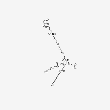 CCOCCOCCNC(=O)CCOCC(COCCC(=O)NC)(COCCC(=O)NCCOCCOCCOC)NC(=O)CCOCCOCCOCCOCCNC(=O)CCCC(=O)OC1C(=O)CCC1=O